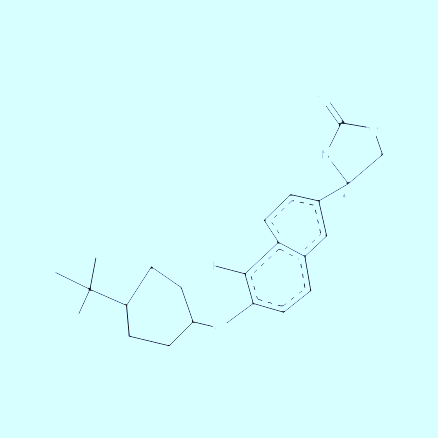 CC(F)(F)C1CCC(Oc2ccc3cc([C@]4(C)COC(=O)N4)ccc3c2I)CC1